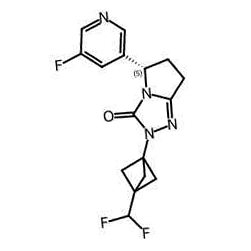 O=c1n(C23CC(C(F)F)(C2)C3)nc2n1[C@H](c1cncc(F)c1)CC2